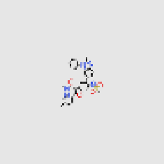 CNC(=O)c1c(-c2ccc(C)cc2)oc2cc(N(C)S(C)(=O)=O)c(-c3ccc4nc(C)n(-c5ccccc5)c4c3)cc12